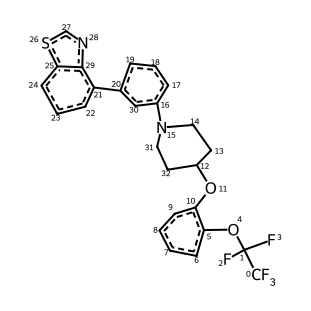 FC(F)(F)C(F)(F)Oc1ccccc1OC1CCN(c2cccc(-c3cccc4scnc34)c2)CC1